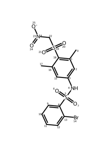 Cc1cc(NS(=O)(=O)c2ccccc2Br)cc(C)c1S(=O)(=O)C[N+](=O)[O-]